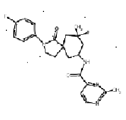 Cc1nccc(C(=O)NC2CC(C)(F)CC3(CCN(c4ccc(F)cc4)C3=O)C2)n1